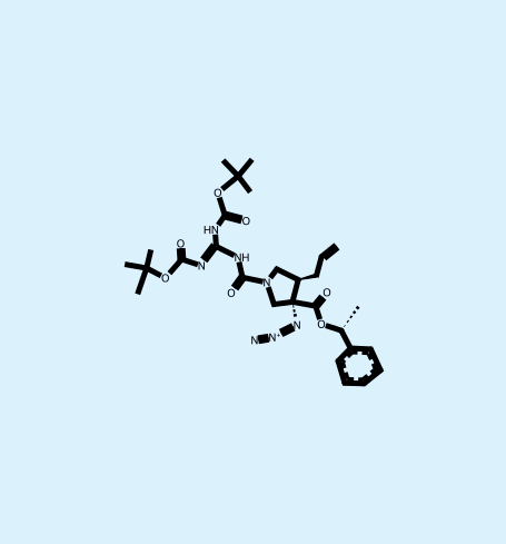 C=CC[C@@H]1CN(C(=O)NC(=NC(=O)OC(C)(C)C)NC(=O)OC(C)(C)C)C[C@]1(N=[N+]=[N-])C(=O)O[C@H](C)c1ccccc1